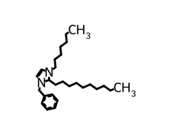 CCCCCCCCCCC1N(CCCCCCC)C=CN1Cc1ccccc1